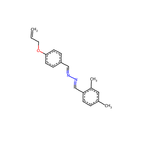 C=CCOc1ccc(C=NN=Cc2ccc(C)cc2C)cc1